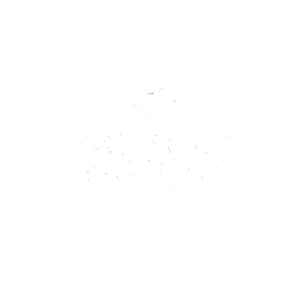 C[C@H](O)C(=O)N(C[C@@H]1CN(C(=O)OC(C)(C)C)C[C@@H]1F)[C@@H](c1nc(-c2cc(F)ccc2F)cn1Cc1ccccc1)C1CNC1